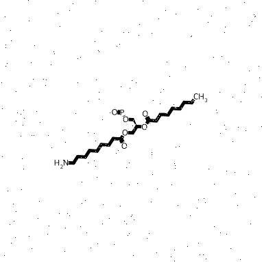 CCCCCCCCC(=O)O[C@H](COP=O)COC(=O)CCCCCCCCN